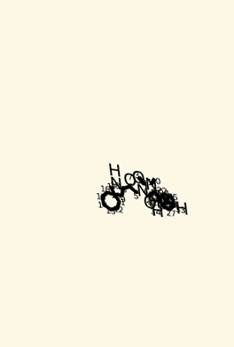 CN1C(=O)N(CC(=O)C2CC3(CCCCCC3)CN2)C(=O)[C@]1(C)[C@H]1CC[C@H]2C[C@@H]1C2(C)C